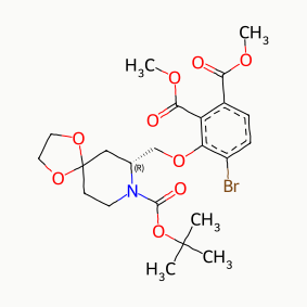 COC(=O)c1ccc(Br)c(OC[C@H]2CC3(CCN2C(=O)OC(C)(C)C)OCCO3)c1C(=O)OC